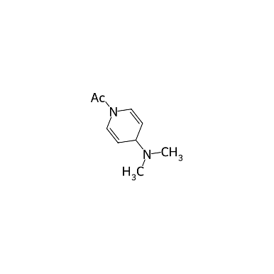 CC(=O)N1C=CC(N(C)C)C=C1